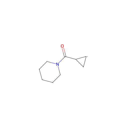 O=C(C1[CH]C1)N1CCCCC1